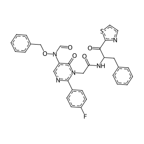 O=CN(OCc1ccccc1)c1cnc(-c2ccc(F)cc2)n(CC(=O)NC(Cc2ccccc2)C(=O)c2nccs2)c1=O